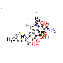 CC1CCN(Cc2ccc(O)c3c2CC2CC4C(C(O)=C2C3=O)[C@](C)(O)C(C(N)=O)=C(O)[C@H]4N(C)C)CC1